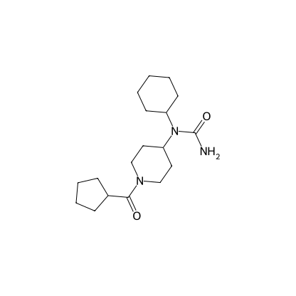 NC(=O)N(C1CCCCC1)C1CCN(C(=O)C2CCCC2)CC1